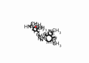 C\C=C(/C=C\C(COc1nnc(N2/C=C\C=C(\OC)C(=CF)c3cc(C)ncc3C2=O)s1)=C(\C)CC)[S@](C)=N